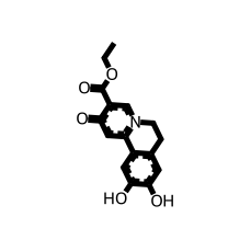 CCOC(=O)c1cn2c(cc1=O)-c1cc(O)c(O)cc1CC2